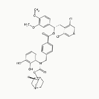 COc1ccc([C@H](Cc2c(Cl)cncc2Cl)OC(=O)c2ccc(CN(C(=O)O[C@H]3CN4CCC3CC4)c3cccc(O)c3O)cc2)cc1OC